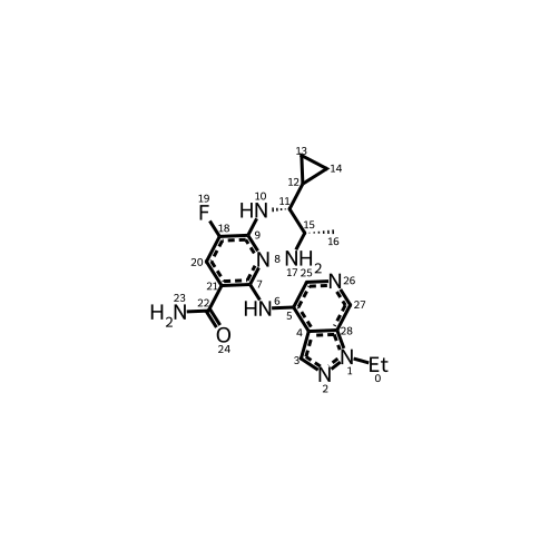 CCn1ncc2c(Nc3nc(N[C@H](C4CC4)[C@H](C)N)c(F)cc3C(N)=O)cncc21